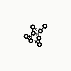 CC1(C)c2ccccc2-c2ccc(N(c3ccc(-c4ccccc4)cc3)c3cc(-n4c5ccccc5c5ccccc54)cc4c3sc3ccccc34)cc21